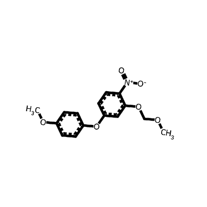 COCOc1cc(Oc2ccc(OC)cc2)ccc1[N+](=O)[O-]